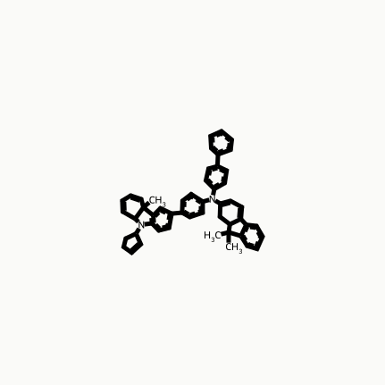 CC1(C)c2ccccc2C2=CC=C(N(c3ccc(-c4ccccc4)cc3)c3ccc(-c4ccc5c(c4)C4(C)C=CC=CC4N5C4C=CCC4)cc3)CC21